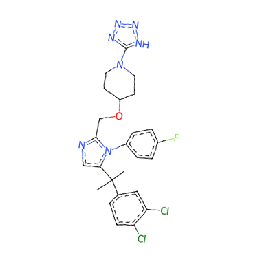 CC(C)(c1ccc(Cl)c(Cl)c1)c1cnc(COC2CCN(c3nnn[nH]3)CC2)n1-c1ccc(F)cc1